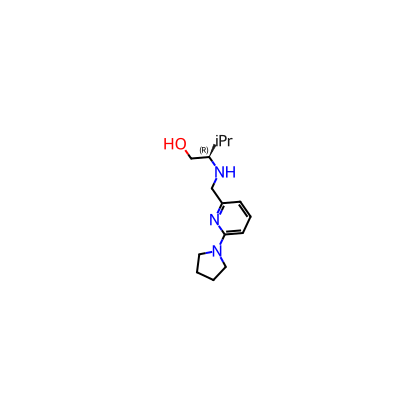 CC(C)[C@H](CO)NCc1cccc(N2CCCC2)n1